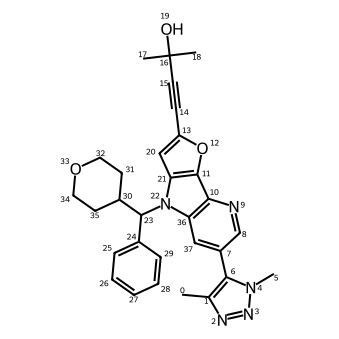 Cc1nnn(C)c1-c1cnc2c3oc(C#CC(C)(C)O)cc3n(C(c3ccccc3)C3CCOCC3)c2c1